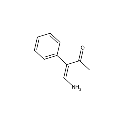 CC(=O)C(=CN)c1ccccc1